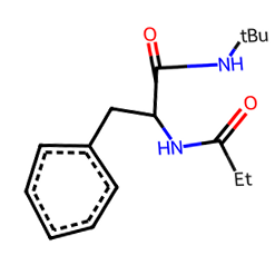 CCC(=O)NC(Cc1ccccc1)C(=O)NC(C)(C)C